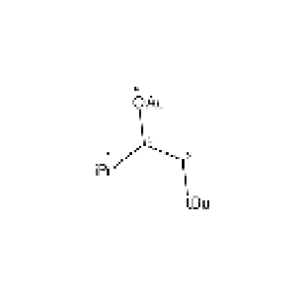 CC(=O)OC(CC(C)(C)C)C(C)C